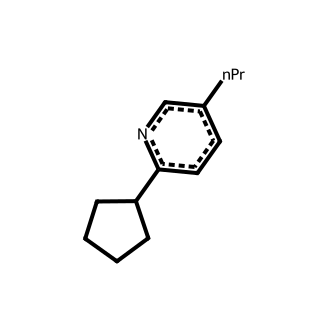 CCCc1ccc(C2CCCC2)nc1